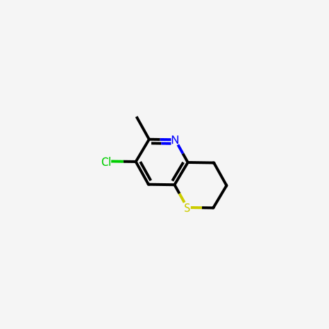 Cc1nc2c(cc1Cl)SCCC2